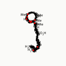 CO[C@H]1C[C@@H]2CC[C@@H](C)[C@@](O)(O2)C(=O)C(=O)N2CCCC[C@H]2C(=O)O[C@H]([C@H](C)C[C@@H]2CC[C@@H](OC(=O)NCc3cnc(N4CCN(C(=O)CCOCCN5CCN(c6ncc(C(=O)N7CCc8cc(Cn9nc(-c%10ccc%11oc(N)nc%11c%10)c%10c(N)ncnc%109)ccc8C7)cn6)CC5)[C@@H](C(=O)O)C4)nc3)[C@H](OC)C2)C[C@@H](OC)[C@H](C)/C=C(\C)[C@@H](O)[C@@H](OC)C(=O)[C@H](C)C[C@H](C)/C=C/C=C/C=C/1C